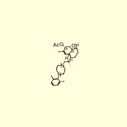 CC(=O)O[C@@H]1[C][C@@]2(O)[C@H](C)CC[C@@H]([C@H](C)CN3CCN(c4c(C)cccc4C)CC3)[C@H]2C=C1C